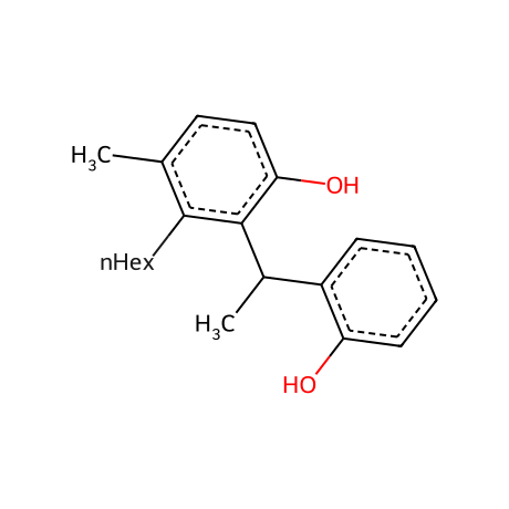 CCCCCCc1c(C)ccc(O)c1C(C)c1ccccc1O